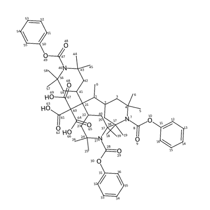 CC(C1CC(C)(C)N(C(=O)Oc2ccccc2)C(C)(C)C1)C(C1CC(C)(C)N(C(=O)Oc2ccccc2)C(C)(C)C1)(C1CC(C)(C)N(C(=O)Oc2ccccc2)C(C)(C)C1)C(C(=O)O)(C(=O)O)C(=O)O